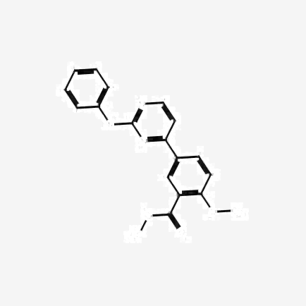 COC(=O)c1cc(-c2ccnc(Nc3ccccc3)n2)ccc1OC